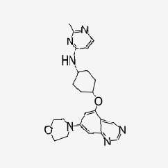 Cc1nccc(NC2CCC(Oc3cc(N4CCOCC4)cc4ncncc34)CC2)n1